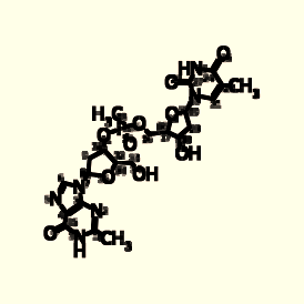 Cc1nc2c(ncn2[C@H]2C[C@@H](OP(C)(=O)OC[C@H]3O[C@@H](n4cc(C)c(=O)[nH]c4=O)C[C@H]3O)[C@@H](CO)O2)c(=O)[nH]1